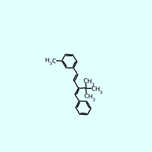 Cc1cccc(C=CC(=Cc2ccccc2)C(C)(C)C)c1